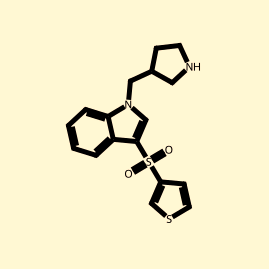 O=S(=O)(c1ccsc1)c1cn(CC2CCNC2)c2ccccc12